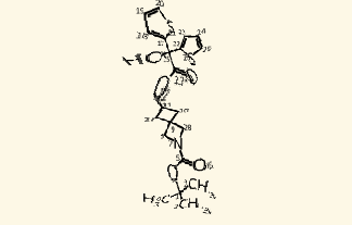 CC(C)(C)OC(=O)N1CC2(CC(OC(=O)C(O)(c3cccs3)c3cccs3)C2)C1